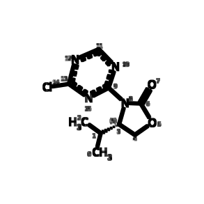 CC(C)[C@H]1COC(=O)N1c1ncnc(Cl)n1